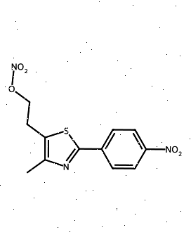 Cc1nc(-c2ccc([N+](=O)[O-])cc2)sc1CCO[N+](=O)[O-]